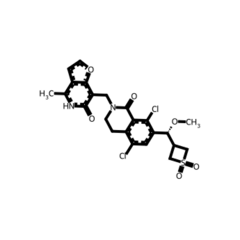 CO[C@@H](c1cc(Cl)c2c(c1Cl)C(=O)N(Cc1c(=O)[nH]c(C)c3ccoc13)CC2)C1CS(=O)(=O)C1